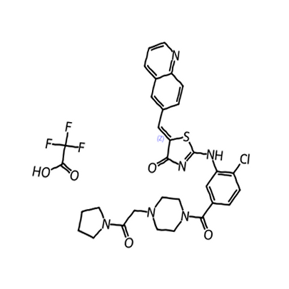 O=C(O)C(F)(F)F.O=C1N=C(Nc2cc(C(=O)N3CCN(CC(=O)N4CCCC4)CC3)ccc2Cl)S/C1=C\c1ccc2ncccc2c1